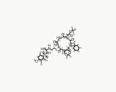 COc1cc(C)c(S(=O)(=O)NC(=N)NCCC[C@@H]2NC(=O)CNC(=O)[C@H](CC(=O)OC(C)(C)C)NC(=O)[C@@H](Cc3ccccc3)NC(=O)C3(COC(C)(C)OC3)NC2=O)c(C)c1C